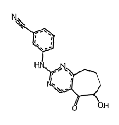 N#Cc1cccc(Nc2ncc3c(n2)CCCC(O)C3=O)c1